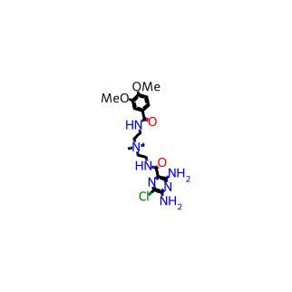 COc1ccc(C(=O)NCC[N+](C)(C)CCNC(=O)c2nc(Cl)c(N)nc2N)cc1OC